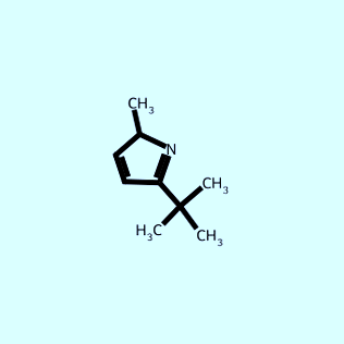 CC1C=CC(C(C)(C)C)=N1